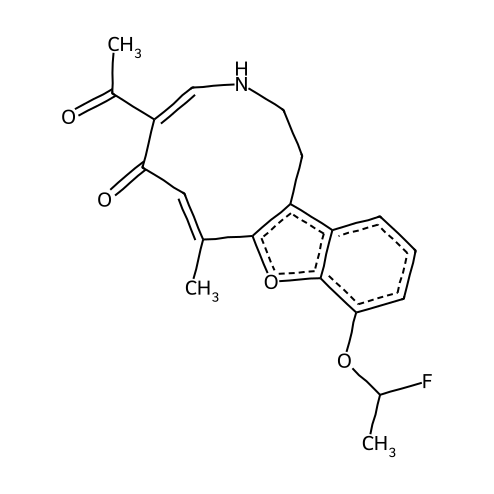 CC(=O)/C1=C/NCCc2c(oc3c(OC(C)F)cccc23)/C(C)=C/C1=O